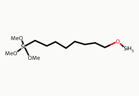 CO[Si](CCCCCCCCO[SiH3])(OC)OC